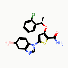 BC1C=Cc2c(ncn2-c2cc(O[C@H](C)c3ccccc3Cl)c(C(N)=O)s2)C1